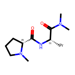 CC(C)[C@H](NC(=O)[C@H]1CCCN1C)C(=O)N(C)C